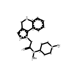 CCCCN(C(=O)Cn1ncc2c1-c1ccccc1OC2)C1CCN(C(C)=O)CC1